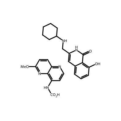 COc1ccc2nccc(NC(=O)O)c2n1.O=c1[nH]c(CNC2CCCCC2)cc2cccc(O)c12